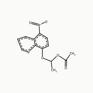 CC(=O)OC(C)Oc1ccc([N+](=O)[O-])c2cccnc12